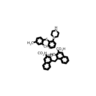 Cc1ccc(Sc2ccccc2N2CCNCC2)c(C)c1.O=C(O)c1cc2ccccc2c(Cc2c(O)c(C(=O)O)cc3ccccc23)c1O